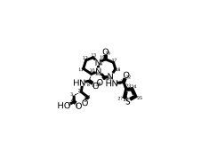 O=C[C@H](CC(=O)O)NC(=O)[C@@H]1CCCN2C(=O)CCN(NC(=O)c3ccsc3)C(=O)N12